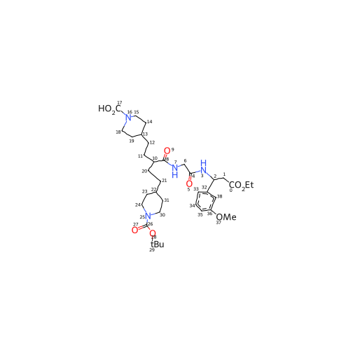 CCOC(=O)CC(NC(=O)CNC(=O)C(CCC1CCN(C(=O)O)CC1)CCC1CCN(C(=O)OC(C)(C)C)CC1)c1cccc(OC)c1